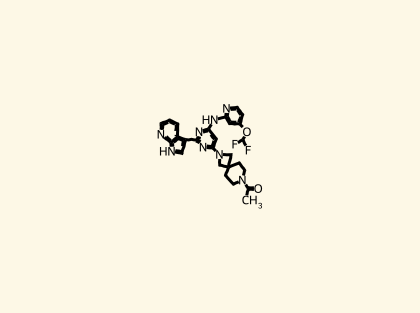 CC(=O)N1CCC2(CC1)CN(c1cc(Nc3cc(OC(F)F)ccn3)nc(-c3c[nH]c4ncccc34)n1)C2